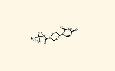 CC(C)(C)OC(=O)N1CCC(n2ccc(=O)[nH]c2=O)CC1